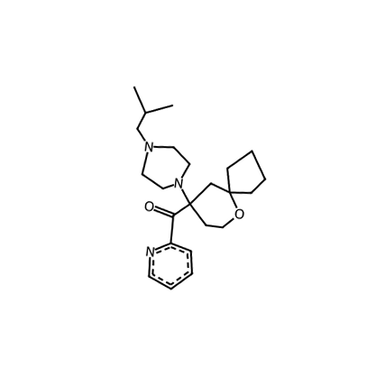 CC(C)CN1CCN(C2(C(=O)c3ccccn3)CCOC3(CCCC3)C2)CC1